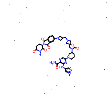 Cn1cc(Nc2nc(N3CCCC(N4CC5(CN(CC6CN(c7ccc8c(c7)C(=O)N(C7CCC(=O)NC7=O)C8=O)C6)C5)OC4=O)C3)cnc2C(N)=O)cn1